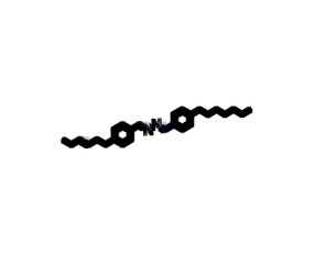 CC/C=C/CCc1ccc(/C=N/N=C/c2ccc(CCCCCCC)cc2)cc1